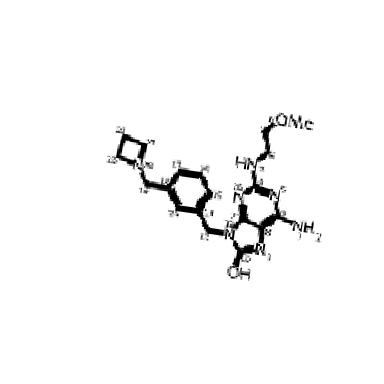 COCCNc1nc(N)c2nc(O)n(Cc3cccc(CN4CCC4)c3)c2n1